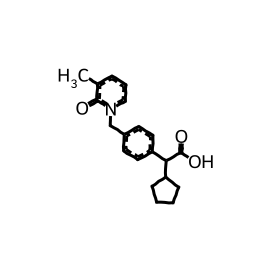 Cc1cccn(Cc2ccc(C(C(=O)O)C3CCCC3)cc2)c1=O